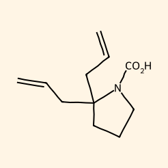 C=CCC1(CC=C)CCCN1C(=O)O